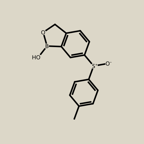 Cc1ccc([S+]([O-])c2ccc3c(c2)B(O)OC3)cc1